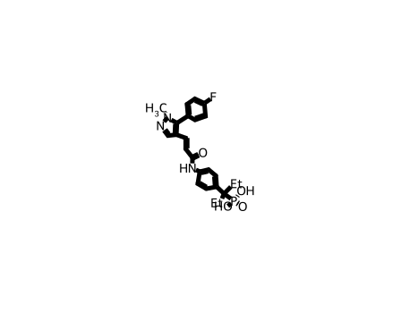 CCC(CC)(c1ccc(NC(=O)C=Cc2cnn(C)c2-c2ccc(F)cc2)cc1)P(=O)(O)O